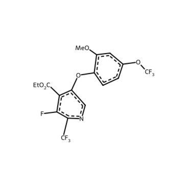 CCOC(=O)c1c(Oc2ccc(OC(F)(F)F)cc2OC)cnc(C(F)(F)F)c1F